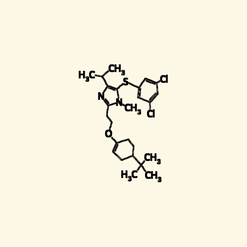 CC(C)c1nc(CCOC2=CCC(C(C)(C)C)CC2)n(C)c1Sc1cc(Cl)cc(Cl)c1